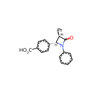 CC(C)[C@H]1C(=O)N(c2ccccc2)[C@@H]1c1ccc(C(=O)O)cc1